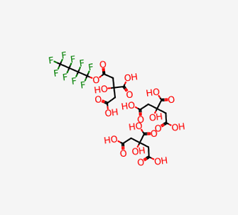 O=C(O)CC(O)(CC(=O)O)C(=O)O.O=C(O)CC(O)(CC(=O)O)C(=O)O.O=C(O)CC(O)(CC(=O)OC(F)(F)C(F)(F)C(F)(F)C(F)(F)F)C(=O)O